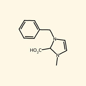 CN1C=CN(Cc2ccccc2)C1C(=O)O